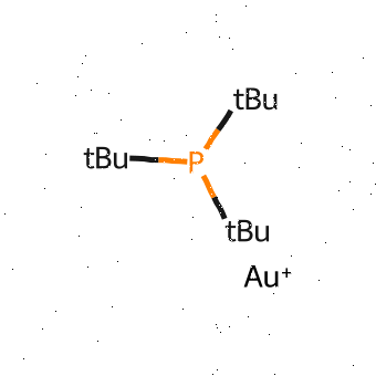 CC(C)(C)P(C(C)(C)C)C(C)(C)C.[Au+]